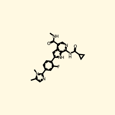 CNC(=O)c1cnc(NC(=O)C2CC2)c2[nH]c(-c3ccc(-c4ncc(C)n4C)cc3F)cc12